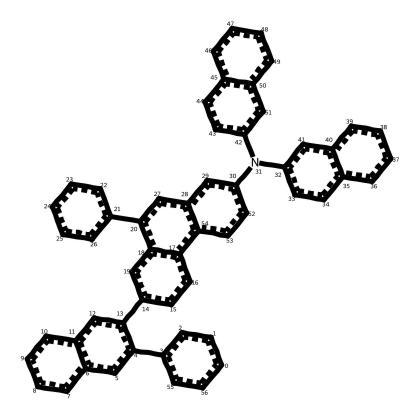 c1ccc(-c2cc3ccccc3cc2-c2ccc3c(c2)c(-c2ccccc2)cc2cc(N(c4ccc5ccccc5c4)c4ccc5ccccc5c4)ccc23)cc1